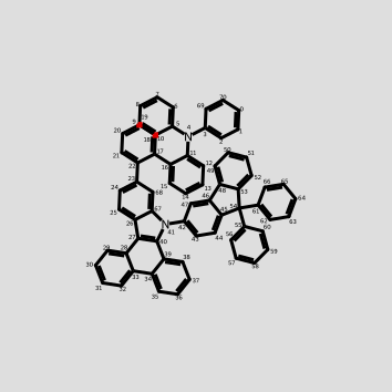 c1ccc(N(c2ccccc2)c2ccccc2-c2ccccc2-c2ccc3c4c5ccccc5c5ccccc5c4n(-c4ccc5c(c4)-c4ccccc4C5(c4ccccc4)c4ccccc4)c3c2)cc1